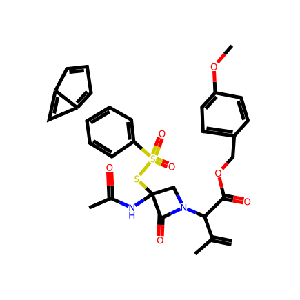 C=C(C)C(C(=O)OCc1ccc(OC)cc1)N1CC(NC(C)=O)(SS(=O)(=O)c2ccccc2)C1=O.c1cc2cc-2c1